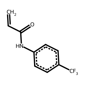 C=CC(=O)Nc1ccc(C(F)(F)F)cc1